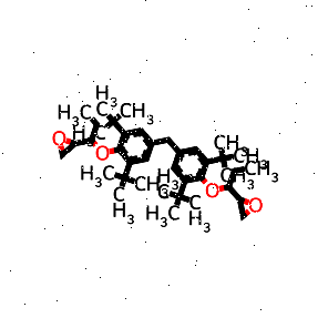 CCC(Oc1c(C(C)(C)C)cc(Cc2cc(C(C)(C)C)c(OC(CC)C3CO3)c(C(C)(C)C)c2)cc1C(C)(C)C)C1CO1